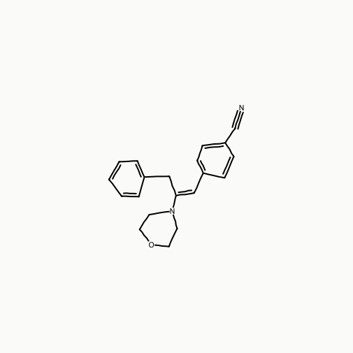 N#Cc1ccc(/C=C(\Cc2ccccc2)N2CCOCC2)cc1